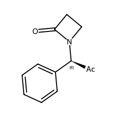 CC(=O)[C@@H](c1ccccc1)N1CCC1=O